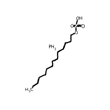 CCCCCCCCCCCCCCOS(=O)(=O)O.P